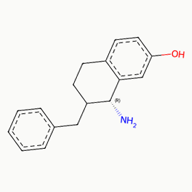 N[C@H]1c2cc(O)ccc2CCC1Cc1ccccc1